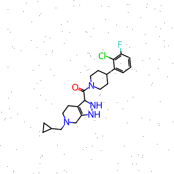 O=C(C1NNC2=C1CCN(CC1CC1)C2)N1CCC(c2cccc(F)c2Cl)CC1